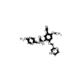 CSc1cc(OC[C@@H]2CNCCO2)c(NC(=O)Nc2cnc(C)cn2)cc1C#N